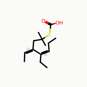 C/C=C(CC(C)(C)SC(=O)O)\C(=C/CC)CC